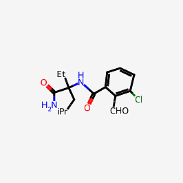 CCC(CC(C)C)(NC(=O)c1cccc(Cl)c1C=O)C(N)=O